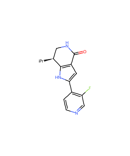 CC(C)[C@H]1CNC(=O)c2cc(-c3ccncc3F)[nH]c21